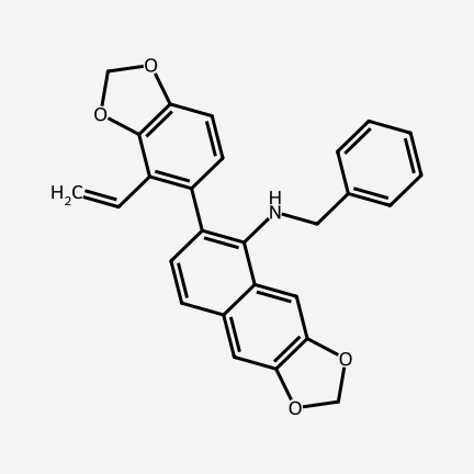 C=Cc1c(-c2ccc3cc4c(cc3c2NCc2ccccc2)OCO4)ccc2c1OCO2